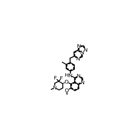 COc1ccc2ncnc(Nc3ccc(Cc4cc5ncnn5cn4)c(C)c3)c2c1O[C@H]1CCN(C)CC1(F)F